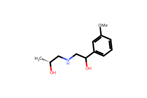 COc1cccc(C(O)CNC[C@@H](C)O)c1